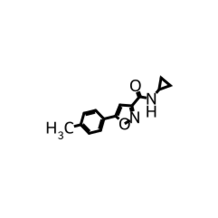 Cc1ccc(-c2cc(C(=O)NC3CC3)no2)cc1